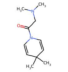 CN(C)CC(=O)N1C=CC(C)(C)C=C1